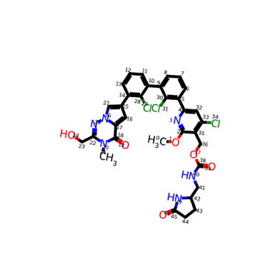 COc1nc(-c2cccc(-c3cccc(-c4cc5c(=O)n(C)c(CO)nn5c4)c3Cl)c2Cl)cc(Cl)c1COC(=O)NCC1CCC(=O)N1